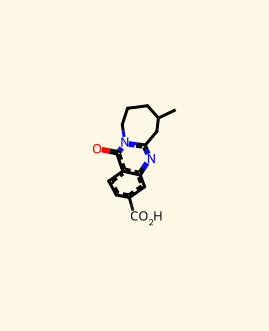 CC1CCCn2c(nc3cc(C(=O)O)ccc3c2=O)C1